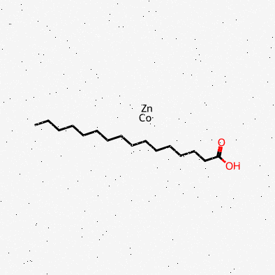 CCCCCCCCCCCCCCCC(=O)O.[Co].[Zn]